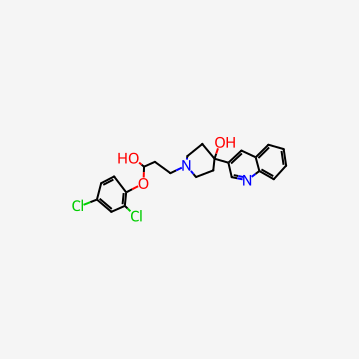 OC(CCN1CCC(O)(c2cnc3ccccc3c2)CC1)Oc1ccc(Cl)cc1Cl